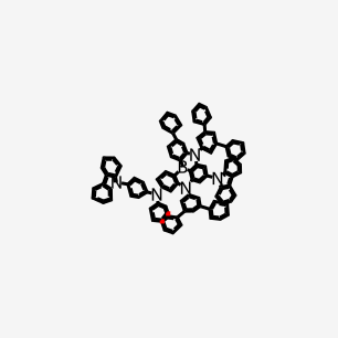 c1ccc(-c2cc(-c3ccccc3)cc(N3c4cc(-c5ccccc5)ccc4B4c5ccc(N(c6ccccc6)c6ccc(-n7c8ccccc8c8ccccc87)cc6)cc5N(c5cc(-c6ccccc6)cc(-c6ccccc6)c5)c5cc(-n6c7ccccc7c7ccccc76)cc3c54)c2)cc1